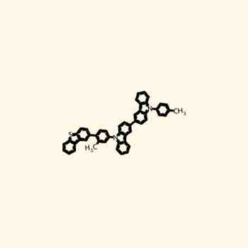 Cc1ccc(-n2c3ccccc3c3cc(-c4ccc5c(c4)c4ccccc4n5-c4ccc(-c5ccc6sc7ccccc7c6c5)c(C)c4)ccc32)cc1